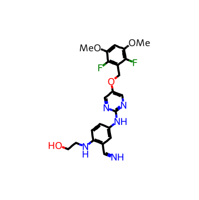 COc1cc(OC)c(F)c(COc2cnc(Nc3ccc(NCCO)c(C=N)c3)nc2)c1F